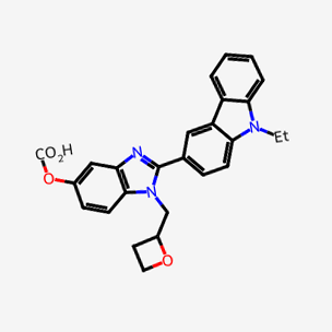 CCn1c2ccccc2c2cc(-c3nc4cc(OC(=O)O)ccc4n3CC3CCO3)ccc21